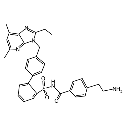 CCc1nc2c(C)cc(C)nc2n1Cc1ccc(-c2ccccc2S(=O)(=O)NC(=O)c2ccc(CCN)cc2)cc1